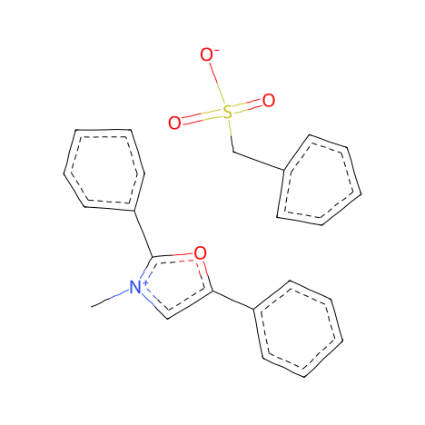 C[n+]1cc(-c2ccccc2)oc1-c1ccccc1.O=S(=O)([O-])Cc1ccccc1